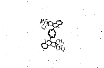 CC12CCC(c3c1c(-c1ccc(-c4nc5ccccc5c5c4C4(C)CCC5C4(C)C)cc1)nc1ccccc31)C2(C)C